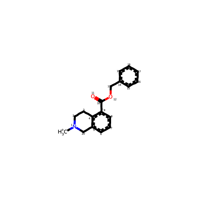 CN1CCc2c(cccc2C(=O)OCc2ccccc2)C1